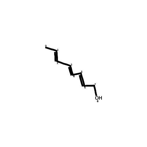 C/C=C/C=C/C=C/CO